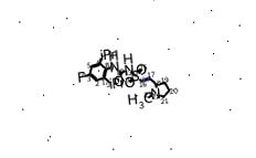 CC(C)c1cc(F)cc(C(C)C)c1NC(=O)NS(=O)(=O)/C=C/C1CCCN1C